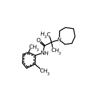 Cc1cccc(C)c1NC(=O)C(C)(C)N1CCCCCC1